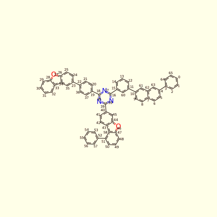 c1ccc(-c2ccc3ccc(-c4cccc(-c5nc(-c6ccc(-c7ccc8oc9ccccc9c8c7)cc6)nc(-c6ccc7c(c6)oc6cccc(-c8ccccc8)c67)n5)c4)cc3c2)cc1